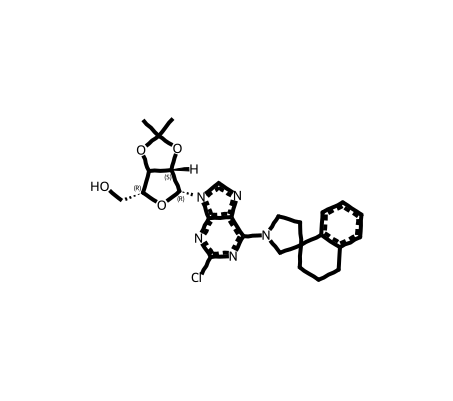 CC1(C)OC2[C@@H](CO)O[C@@H](n3cnc4c(N5CCC6(CCCc7ccccc76)C5)nc(Cl)nc43)[C@H]2O1